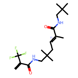 C=C(C(=O)NCC(C)(C)C/C=C(\C)C(=O)NCC(C)(C)C)C(F)(F)F